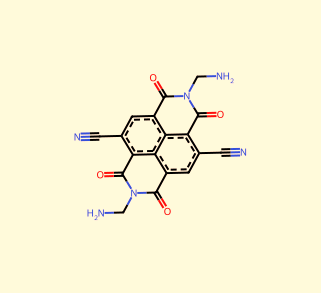 N#Cc1cc2c3c(c(C#N)cc4c3c1C(=O)N(CN)C4=O)C(=O)N(CN)C2=O